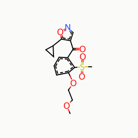 COCCOc1cccc(C(=O)c2cnoc2C2CC2)c1S(C)(=O)=O